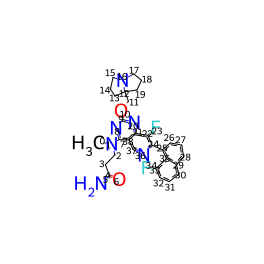 CN(CCC(N)=O)c1nc(OCC23CCCN2CCC3)nc2c(F)c(-c3cccc4cccc(F)c34)ncc12